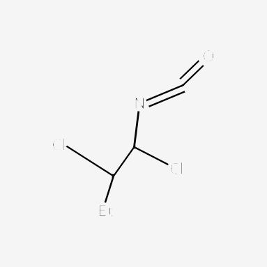 CCC(Cl)C(Cl)N=C=O